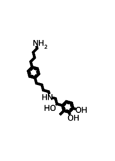 Cc1c([C@@H](O)CNCCCCc2ccc(CCCCN)cc2)ccc(O)c1O